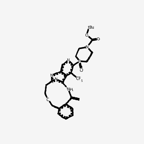 C=C1Nc2nc(nc3cnc(P4(=O)CCN(C(=O)OC(C)(C)C)CC4)c(C(F)(F)F)c23)CCCCc2ccccc21